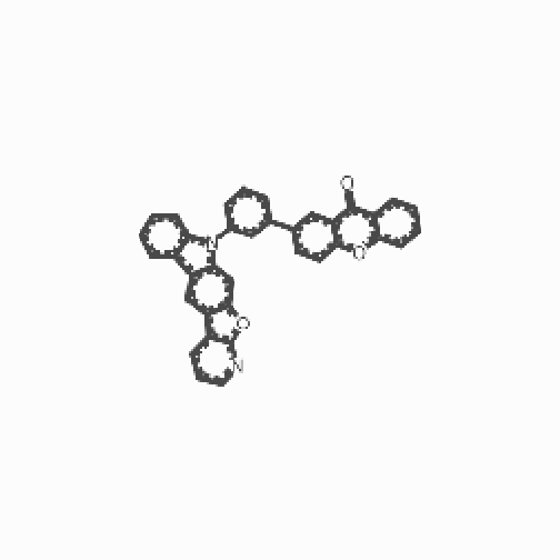 O=c1c2ccccc2oc2ccc(-c3cccc(-n4c5ccccc5c5cc6c(cc54)oc4ncccc46)c3)cc12